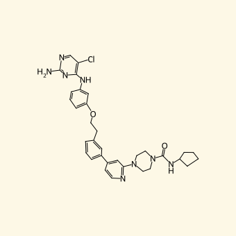 Nc1ncc(Cl)c(Nc2cccc(OCCc3cccc(-c4ccnc(N5CCN(C(=O)NC6CCCC6)CC5)c4)c3)c2)n1